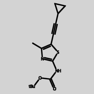 Cc1nc(NC(=O)OC(C)(C)C)sc1C#CC1CC1